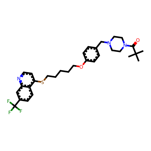 CC(C)(C)C(=O)N1CCN(Cc2ccc(OCCCCCSc3ccnc4cc(C(F)(F)F)ccc34)cc2)CC1